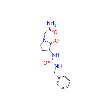 NC(=O)CN1CCC(NC(=O)NCc2ccccc2)C1=O